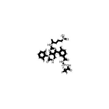 CCN(CC)CCCC(C)Nc1nc(-c2cc(C(=O)NC(C)C)ccc2C)c2c(n1)N(c1c(F)cccc1F)C(=O)NC2.O=C(O)C(F)(F)F